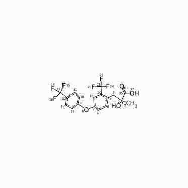 CC(O)(Cc1ccc(Oc2ccc(C(F)(F)F)cc2)cc1C(F)(F)F)C(=O)O